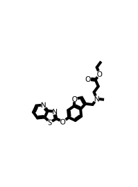 CCOC(=O)CCN(C)Cc1coc2cc(Oc3nc4ncccc4s3)ccc12